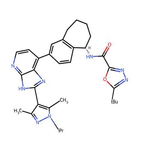 Cc1nn(C(C)C)c(C)c1-c1nc2c(-c3ccc4c(c3)CCCC[C@@H]4NC(=O)c3nnc(C(C)(C)C)o3)ccnc2[nH]1